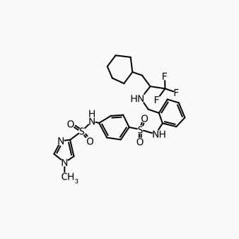 Cn1cnc(S(=O)(=O)Nc2ccc(S(=O)(=O)Nc3ccccc3CNC(CC3CCCCC3)C(F)(F)F)cc2)c1